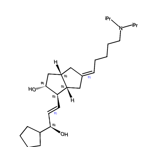 CC(C)N(CCCC/C=C1\C[C@H]2C[C@@H](O)[C@H](/C=C/[C@@H](O)C3CCCC3)[C@H]2C1)C(C)C